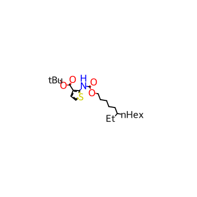 CCCCCCC(CC)CCCCCOC(=O)Nc1sccc1C(=O)OC(C)(C)C